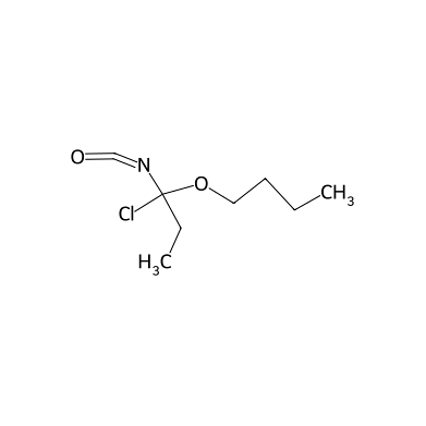 CCCCOC(Cl)(CC)N=C=O